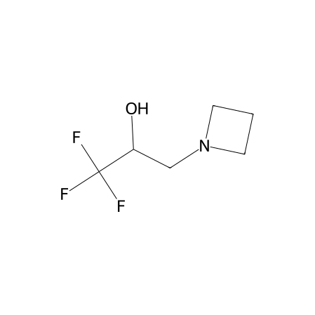 OC(CN1CCC1)C(F)(F)F